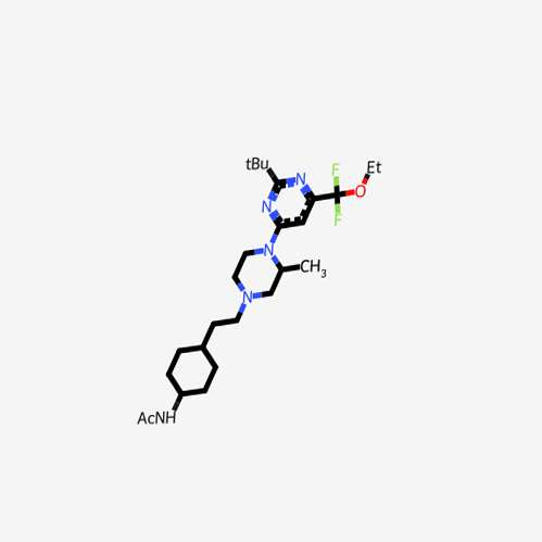 CCOC(F)(F)c1cc(N2CCN(CCC3CCC(NC(C)=O)CC3)CC2C)nc(C(C)(C)C)n1